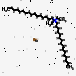 CCCCCCCCCCCCCCCC[N+](C)(CC)CCCCCCCCCCCCCCCC.[Br-]